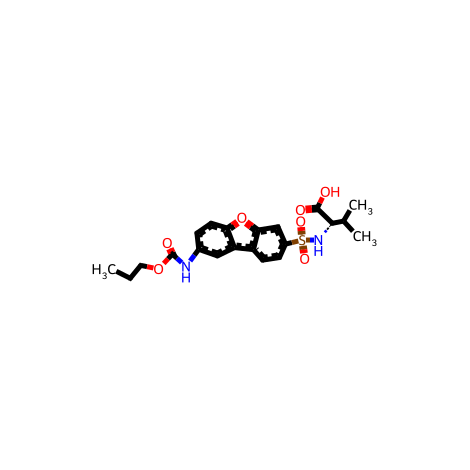 CCCOC(=O)Nc1ccc2oc3cc(S(=O)(=O)N[C@H](C(=O)O)C(C)C)ccc3c2c1